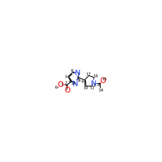 COC(=O)c1ccnc(C2=CCN(C(C)=O)CC2)n1